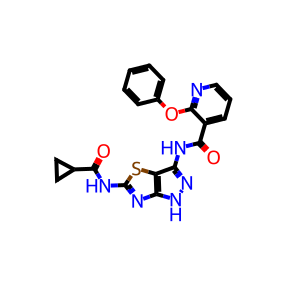 O=C(Nc1n[nH]c2nc(NC(=O)C3CC3)sc12)c1cccnc1Oc1ccccc1